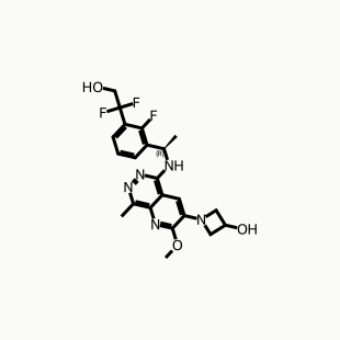 COc1nc2c(C)nnc(N[C@H](C)c3cccc(C(F)(F)CO)c3F)c2cc1N1CC(O)C1